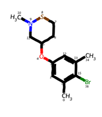 Cc1cc(OC2CCSN(C)C2)cc(C)c1Br